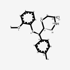 COc1ccccc1S[C@H](c1ccc(C)cc1)[C@H]1CNCCO1.Cl